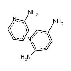 Nc1ccc(N)nc1.Nc1ccccn1